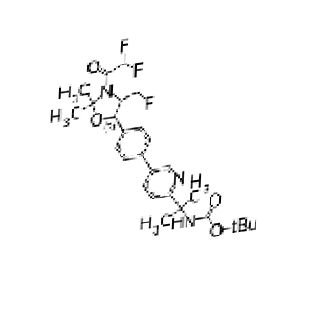 CC(C)(C)OC(=O)NC(C)(C)c1ccc(-c2ccc([C@H]3OC(C)(C)N(C(=O)C(F)F)C3CF)cc2)cn1